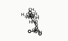 Cc1cc(C)c(S(=O)(=O)NC(CCNC(=O)COC2CC(CNc3ccccn3)N(C(=O)OCc3ccccc3)C2)C(=O)O)c(C)c1